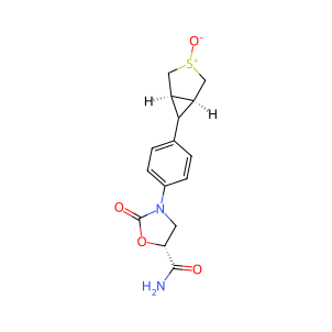 NC(=O)[C@H]1CN(c2ccc(C3[C@H]4C[S+]([O-])C[C@@H]34)cc2)C(=O)O1